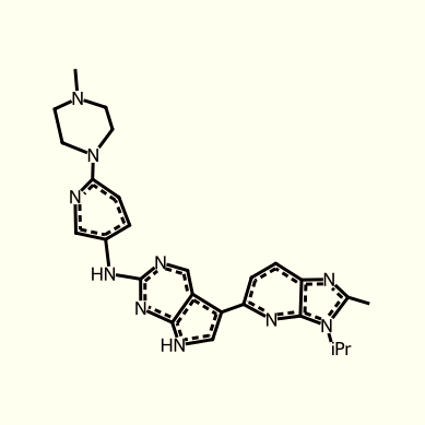 Cc1nc2ccc(-c3c[nH]c4nc(Nc5ccc(N6CCN(C)CC6)nc5)ncc34)nc2n1C(C)C